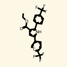 CCOC(=O)c1cc(-c2ccc(C(F)(F)F)cc2)[nH]c1-c1ccc(C(F)(F)F)cc1